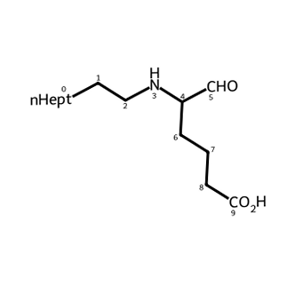 CCCCCCCCCNC(C=O)CCCC(=O)O